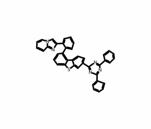 c1ccc(-c2nc(-c3ccccc3)nc(-c3ccc4c(c3)sc3cccc(-c5ccccc5-c5cn6ccccc6n5)c34)n2)cc1